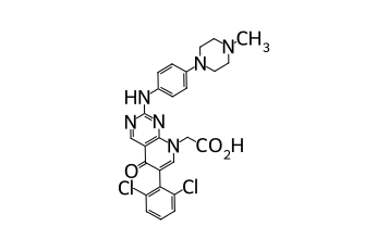 CN1CCN(c2ccc(Nc3ncc4c(=O)c(-c5c(Cl)cccc5Cl)cn(CC(=O)O)c4n3)cc2)CC1